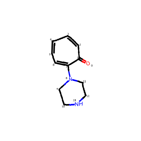 O=c1cccccc1N1CCNCC1